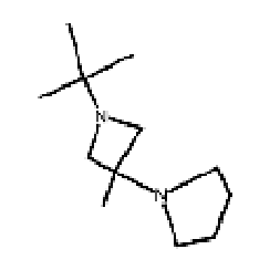 CC(C)(C)N1CC(C)(N2CCCC2)C1